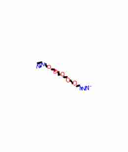 [N-]=[N+]=NCCOCCOCCOCCOCCOCCn1ccnc1